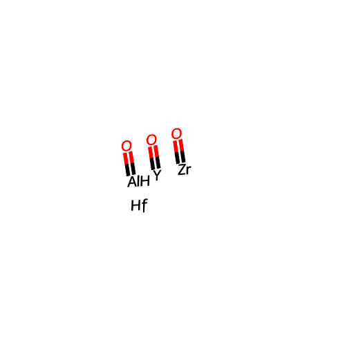 [Hf].[O]=[AlH].[O]=[Y].[O]=[Zr]